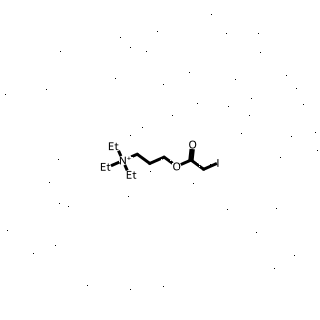 CC[N+](CC)(CC)CCCOC(=O)CI